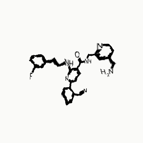 N#Cc1ccccc1-c1ccc(C(=O)NCc2cc(CN)ccn2)c(NCCc2cccc(F)c2)n1